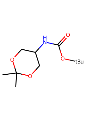 CC(C)(C)OC(=O)NC1COC(C)(C)OC1